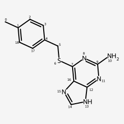 Cc1ccc(CSc2nc(N)nc3[nH]cnc23)cc1